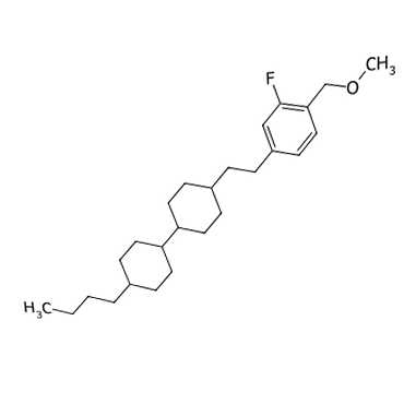 CCCCC1CCC(C2CCC(CCc3ccc(COC)c(F)c3)CC2)CC1